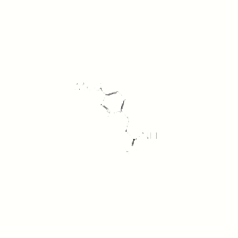 C=C(N)CCc1ccc(OC)cc1